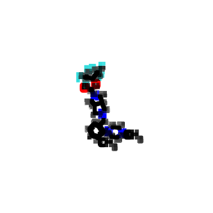 Cc1cccc(CN2CC3CN(C(=O)OC(C(F)(F)F)C(F)(F)F)CC3C2)c1N1CCN(C)CC1